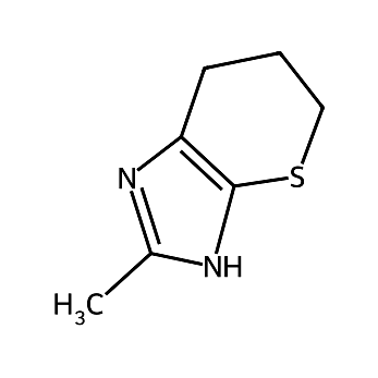 Cc1nc2c([nH]1)SCCC2